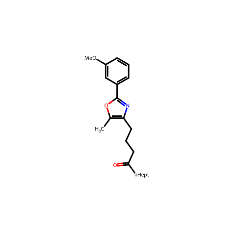 CCCCCCCC(=O)CCCc1nc(-c2cccc(OC)c2)oc1C